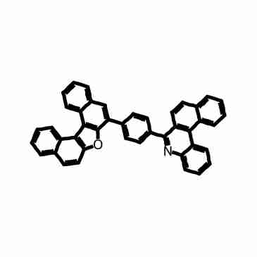 c1ccc2c(c1)ccc1c(-c3ccc(-c4cc5ccccc5c5c4oc4ccc6ccccc6c45)cc3)nc3ccccc3c12